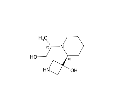 C[C@@H](CO)N1CCCC[C@H]1C1(O)CNC1